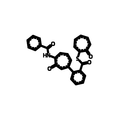 O=C(Nc1cccc(-c2ccccc2C(=O)Sc2cccccc2=O)cc1=O)c1ccccc1